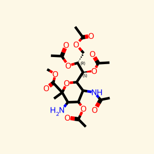 COC(=O)C1(C)OC([C@H](OC(C)=O)[C@@H](COC(C)=O)OC(C)=O)C(NC(C)=O)C(OC(C)=O)C1N